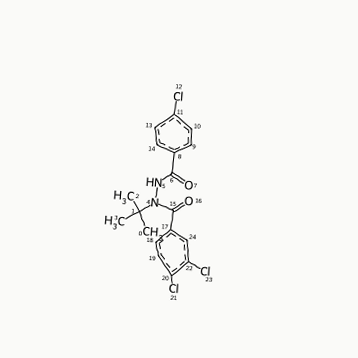 CC(C)(C)N(NC(=O)c1ccc(Cl)cc1)C(=O)c1ccc(Cl)c(Cl)c1